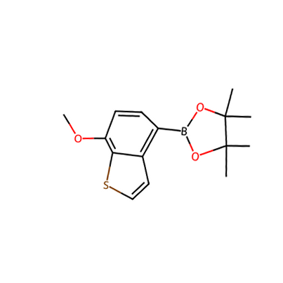 COc1ccc(B2OC(C)(C)C(C)(C)O2)c2ccsc12